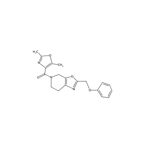 Cc1nc(C(=O)N2CCc3nc(COc4ccccc4)oc3C2)c(C)o1